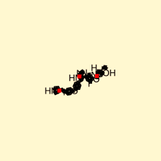 Cc1c(NC(=O)N2C[C@H](CC(C)C)[C@@H](O)C2)cc(F)cc1-c1ncnc2[nH]c(-c3ccc(OC4CCN(CCC5CCNCC5)CC4)cc3)cc12